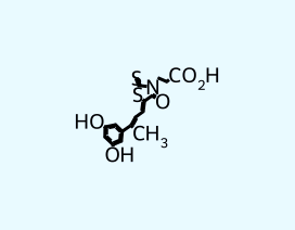 CC(=CC=C1SC(=S)N(CCC(=O)O)C1=O)c1cc(O)cc(O)c1